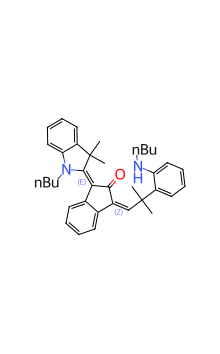 CCCCNc1ccccc1C(C)(C)/C=C1\C(=O)/C(=C2/N(CCCC)c3ccccc3C2(C)C)c2ccccc21